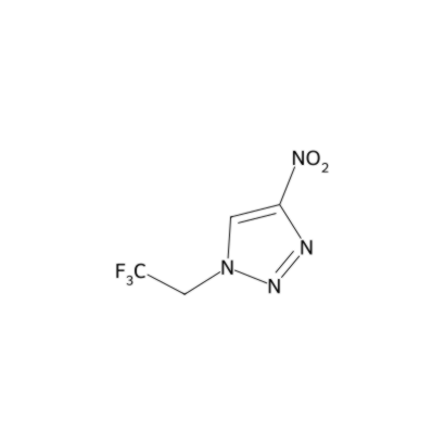 O=[N+]([O-])c1cn(CC(F)(F)F)nn1